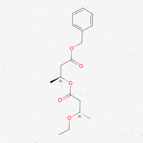 CCO[C@@H](C)CC(=O)O[C@@H](C)CC(=O)OCc1ccccc1